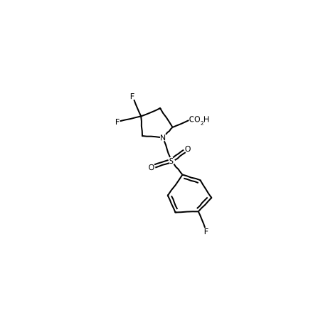 O=C(O)C1CC(F)(F)CN1S(=O)(=O)c1ccc(F)cc1